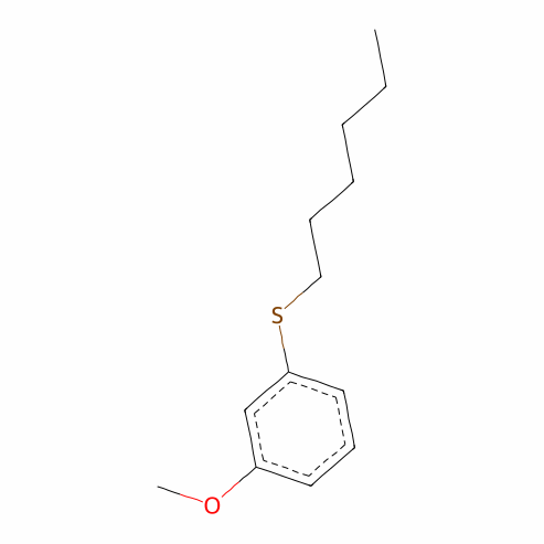 CCCCCCSc1cccc(OC)c1